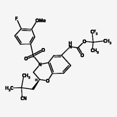 COc1cc(S(=O)(=O)N2C[C@H](CC(C)(C)C#N)Oc3ccc(NC(=O)OC(C)(C)C(F)(F)F)cc32)ccc1F